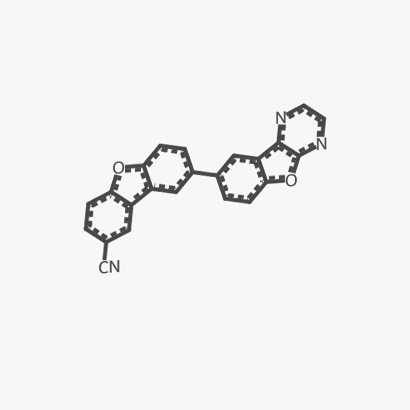 N#Cc1ccc2oc3ccc(-c4ccc5oc6nccnc6c5c4)cc3c2c1